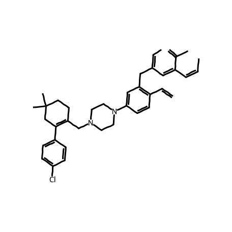 C=Cc1ccc(N2CCN(CC3=C(c4ccc(Cl)cc4)CC(C)(C)CC3)CC2)cc1CC(=C/C)/C=C(/C=C\C)C(=C)C